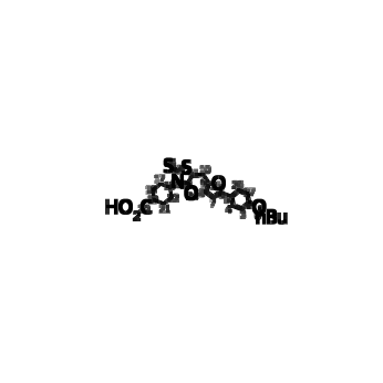 CCCCOc1ccc(-c2ccc(/C=C3/SC(=S)N(C4CCC(C(=O)O)CC4)C3=O)o2)cc1